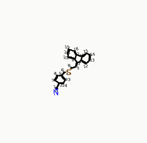 N#Cc1ccc(CSCC=C2c3ccccc3-c3ccccc32)cc1